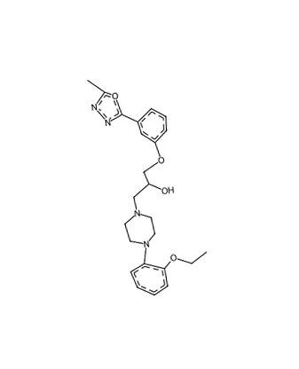 CCOc1ccccc1N1CCN(CC(O)COc2cccc(-c3nnc(C)o3)c2)CC1